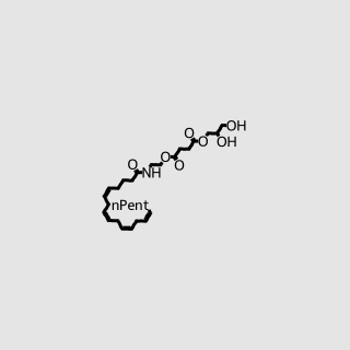 CCCCC/C=C\C/C=C\C/C=C\C/C=C\CCCC(=O)NCCOC(=O)CCC(=O)OCC(O)CO